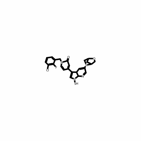 O=c1cc(C2=CN(S)C3N=CC(N4CC5CC4CO5)=CC23)ccn1Cc1cccc(Cl)c1F